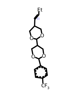 CC/C=C/C1COC(C2COC(c3ccc(C(F)(F)F)cc3)OC2)OC1